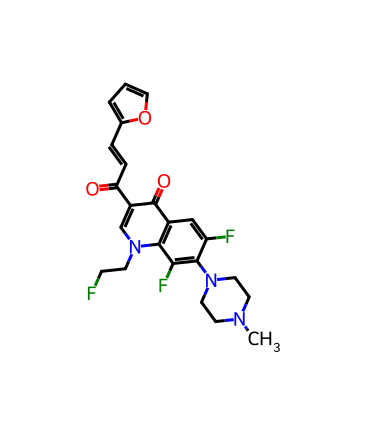 CN1CCN(c2c(F)cc3c(=O)c(C(=O)C=Cc4ccco4)cn(CCF)c3c2F)CC1